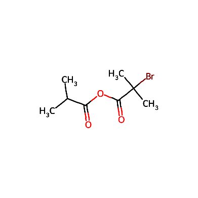 CC(C)C(=O)OC(=O)C(C)(C)Br